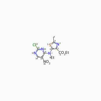 CCOC(=O)c1nc(C)sc1N(CC)c1nc(Cl)ncc1[N+](=O)[O-]